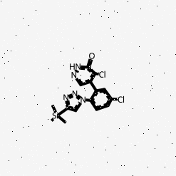 C[Si](C)(C)c1cn(-c2ccc(Cl)cc2-c2cn[nH]c(=O)c2Cl)nn1